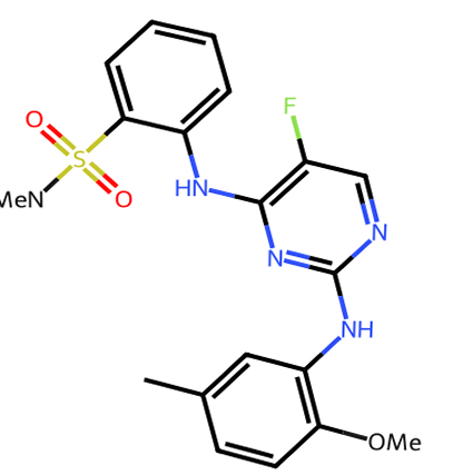 CNS(=O)(=O)c1ccccc1Nc1nc(Nc2cc(C)ccc2OC)ncc1F